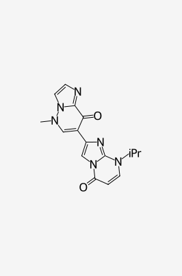 CC(C)n1ccc(=O)n2cc(-c3cn(C)n4ccnc4c3=O)nc12